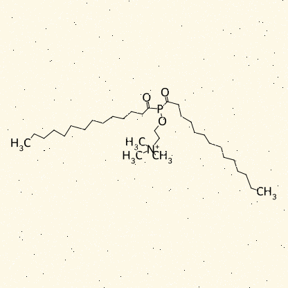 CCCCCCCCCCCCCC(=O)P(OCC[N+](C)(C)C)C(=O)CCCCCCCCCCCCC